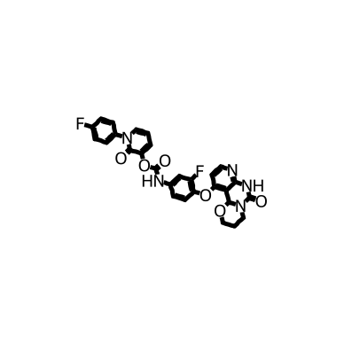 O=C(Nc1ccc(Oc2ccnc3c2C2OCCCN2C(=O)N3)c(F)c1)Oc1cccn(-c2ccc(F)cc2)c1=O